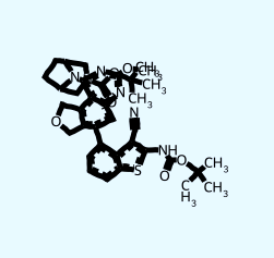 COc1nc(N2C3CCC2CN(C(=O)OC(C)(C)C)C3)c2c3c(c(-c4cccc5sc(NC(=O)OC(C)(C)C)c(C#N)c45)cc2n1)COC3